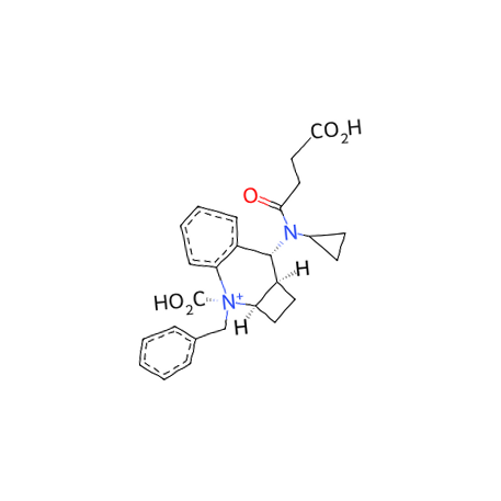 O=C(O)CCC(=O)N(C1CC1)[C@H]1c2ccccc2[N@@+](Cc2ccccc2)(C(=O)O)[C@@H]2CC[C@@H]21